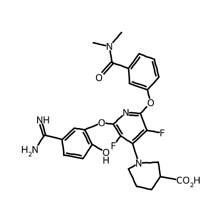 CN(C)C(=O)c1cccc(Oc2nc(Oc3cc(C(=N)N)ccc3O)c(F)c(N3CCCC(C(=O)O)C3)c2F)c1